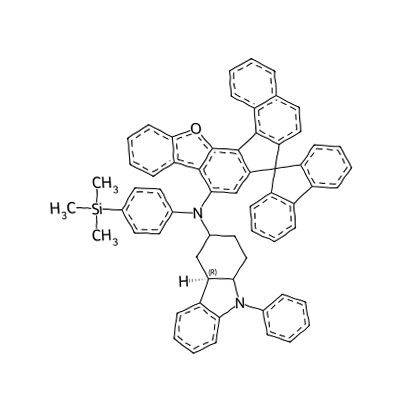 C[Si](C)(C)c1ccc(N(c2cc3c(c4oc5ccccc5c24)-c2c(ccc4ccccc24)C32c3ccccc3-c3ccccc32)C2CCC3[C@H](C2)c2ccccc2N3c2ccccc2)cc1